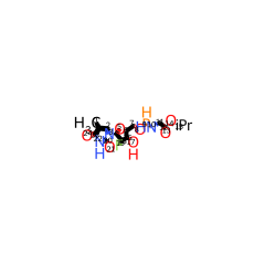 Cc1cn([C@H]2OC(COPNCC(=O)OC(C)C)[C@@H](O)C2F)c(=O)[nH]c1=O